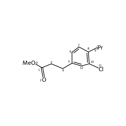 COC(=O)CCc1ccc(C(C)C)c(Cl)c1